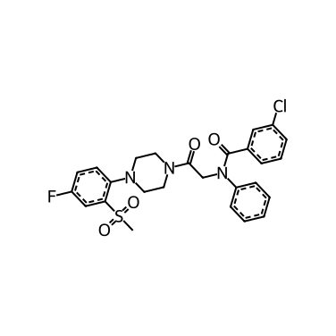 CS(=O)(=O)c1cc(F)ccc1N1CCN(C(=O)CN(C(=O)c2cccc(Cl)c2)c2ccccc2)CC1